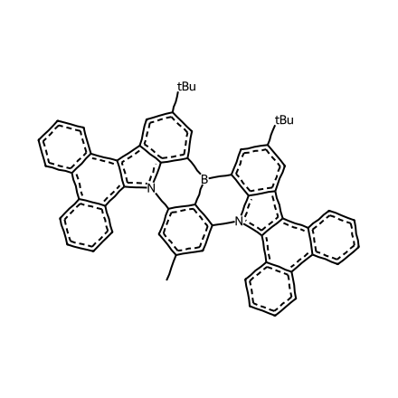 Cc1cc2c3c(c1)-n1c4c(cc(C(C)(C)C)cc4c4c5ccccc5c5ccccc5c41)B3c1cc(C(C)(C)C)cc3c4c5ccccc5c5ccccc5c4n-2c13